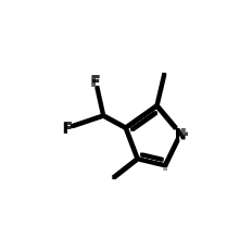 CC1=[C][N]C(C)=C1C(F)F